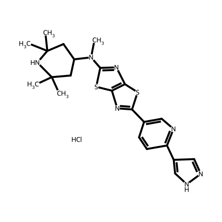 CN(c1nc2sc(-c3ccc(-c4cn[nH]c4)nc3)nc2s1)C1CC(C)(C)NC(C)(C)C1.Cl